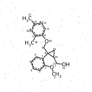 COc1ccccc1C1(COc2cnc(C)nc2C)CC1CO